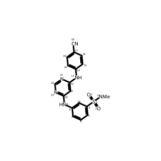 CNS(=O)(=O)c1cccc(Nc2cc(Nc3ccc(C#N)cc3)ncn2)c1